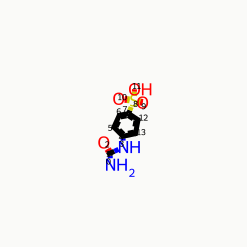 NC(=O)Nc1ccc(S(=O)(=O)O)cc1